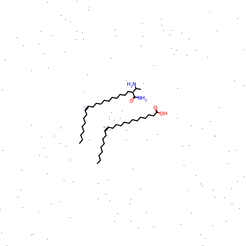 CCCCCCCC/C=C\CCCCCCCCCCC(C(N)=O)C(C)N.CCCCCCCC/C=C\CCCCCCCCCCCC(=O)O